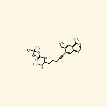 CNC(CCCC#Cc1cc2ncnc(N)c2cc1OC)NC(=O)OC(C)(C)C